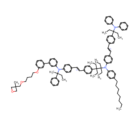 CCCCCCCCc1ccc(N(c2ccc(/C=C/c3ccc(C(CC)(CC)N(c4ccccc4)c4ccccc4)cc3)cc2)C(CC)(CC)C(CC)(CC)c2ccc(/C=C/c3ccc(N(c4cccc(-c5cccc(OCCCCOCC6(C)COC6)c5)c4)C(C)(CC)c4ccccc4)cc3)cc2)cc1